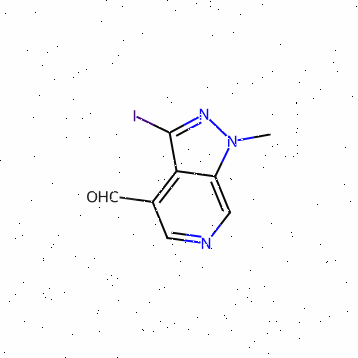 Cn1nc(I)c2c(C=O)cncc21